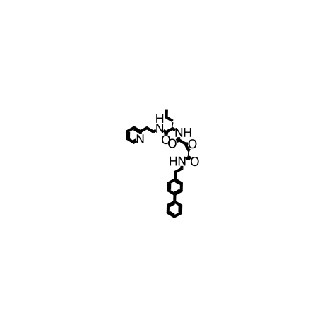 CCC[C@H](NC(=O)C1O[C@H]1C(=O)NCCc1ccc(-c2ccccc2)cc1)C(=O)NCCc1ccccn1